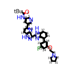 CC(C)(C)C(=O)Nc1cncc(-c2ccc3[nH]nc(-c4nc5c(-c6cc(F)cc(OCCN7CCCC7)c6)cccc5[nH]4)c3n2)c1